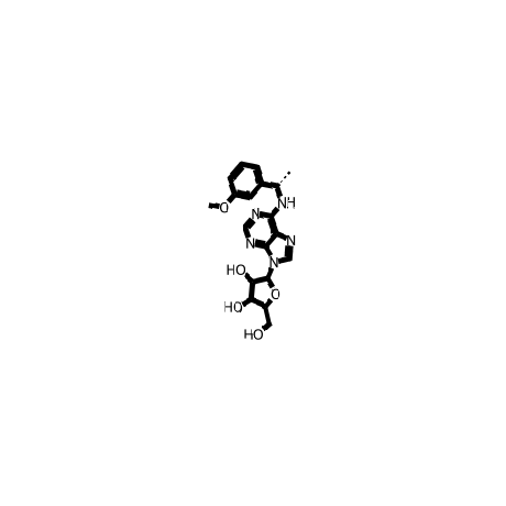 COc1cccc([C@H](C)Nc2ncnc3c2ncn3C2OC(CO)C(O)C2O)c1